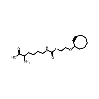 NC(CCCCNC(=O)OCCOC1C#CCCCCC1)C(=O)O